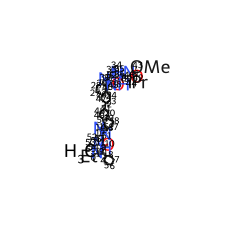 CCN1[C@H](c2ccccc2)C(=O)N2[C@H](c3nc4c(ccc5cc(-c6ccc7c(ccc8nc([C@@H]9CCCN9C(=O)[C@@H](NC(=O)OC)C(C)C)[nH]c87)c6)ccc54)[nH]3)CCC12C